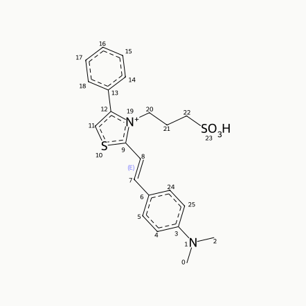 CN(C)c1ccc(/C=C/c2scc(-c3ccccc3)[n+]2CCCS(=O)(=O)O)cc1